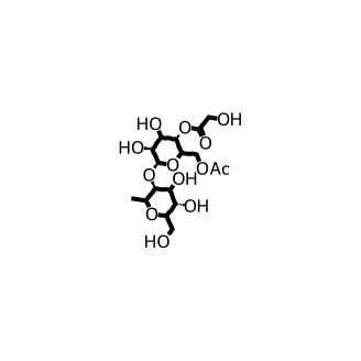 CC(=O)OCC1O[C@@H](O[C@@H]2C(C)OC(CO)[C@@H](O)C2O)[C@@H](O)C(O)[C@@H]1OC(=O)CO